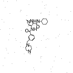 CN1CCN(Cc2cccc(C(=O)Nc3cn(C)nc3C(=O)NC3CCCCC3)c2)CC1